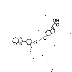 CCCc1cc(-c2nc3c(s2)CCCO3)ccc1OCCCOc1ccc2c(ccn2CC(=O)O)c1